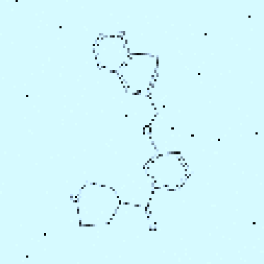 O=C(c1cccc(OCc2ccc3ccccc3c2)c1)C1CCOCC1